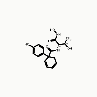 C[C@@H](O)[C@H](NC(=O)C1(c2ccc(O)cc2)C=CC=CC1)C(=O)NO